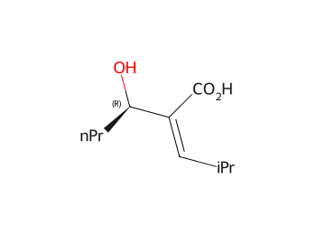 CCC[C@@H](O)C(=CC(C)C)C(=O)O